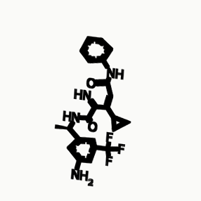 C[C@@H](NC(=O)C(=N)/C(=C\C(=O)Nc1ccccc1)C1CC1)c1cc(N)cc(C(F)(F)F)c1